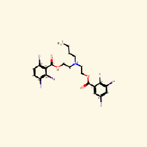 CCCCN(CCOC(=O)c1cc(I)cc(I)c1I)CCOC(=O)c1c(I)ccc(I)c1I